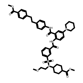 COCCN(C1CCC(C(=O)OC)CC1)S(=O)(=O)c1cccc(C(=O)Nc2ccc(N3CCCCC3)cc2C(=O)Nc2ccc(CCc3ccc(C(=O)OC)cc3)cc2)c1